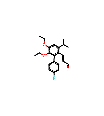 CCOc1cc(C(C)C)c(C=CC=O)c(-c2ccc(F)cc2)c1OCC